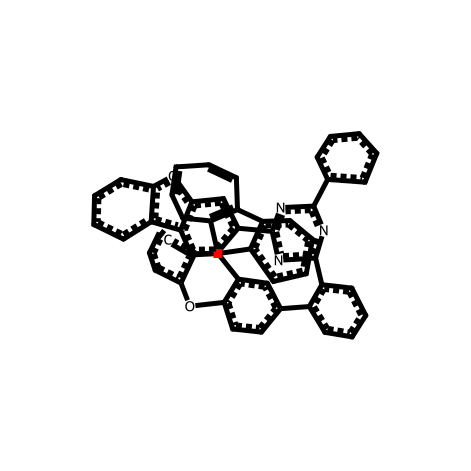 C1=CCC2=C(C=C1)c1ccccc1C21c2ccccc2Oc2ccc(-c3ccccc3-c3nc(-c4ccccc4)nc(-c4ccc5c(c4)oc4ccccc45)n3)cc21